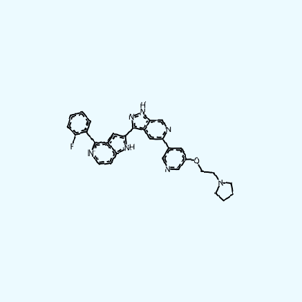 Fc1ccccc1-c1nccc2[nH]c(-c3n[nH]c4cnc(-c5cncc(OCCN6CCCC6)c5)cc34)cc12